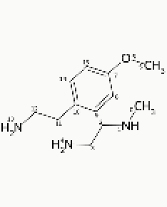 CNCCN.COc1ccc(CCN)cc1